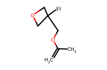 C=C(C)OCC1(CC)COC1